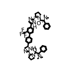 CN(C)[C@@H](C(=O)N1CCC[C@H]1C1=NCC(c2ccc(-c3ccc(-c4cnc([C@@H]5CCCN5C(=O)[C@@H](c5ccccc5)N(C)C)[nH]4)cc3C(F)(F)F)cc2)N1)c1ccccc1